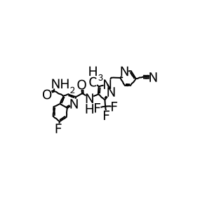 Cc1c(NC(=O)c2cc(C(N)=O)c3ccc(F)cc3n2)c(C(F)(F)F)nn1Cc1ccc(C#N)cn1